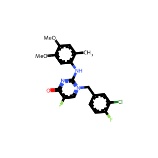 COc1cc(C)c(Nc2nc(=O)c(F)cn2Cc2ccc(F)c(Cl)c2)cc1OC